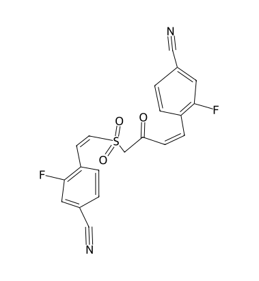 N#Cc1ccc(/C=C\C(=O)CS(=O)(=O)/C=C\c2ccc(C#N)cc2F)c(F)c1